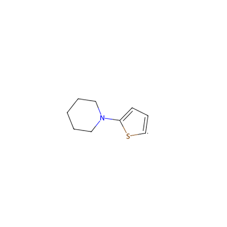 [c]1ccc(N2CCCCC2)s1